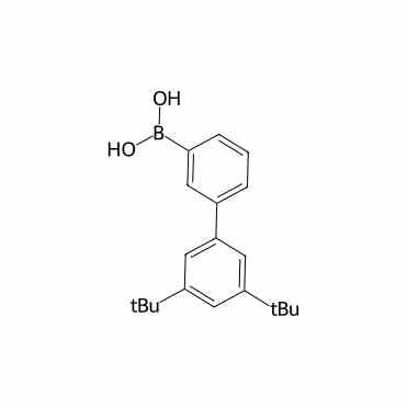 CC(C)(C)c1cc(-c2cccc(B(O)O)c2)cc(C(C)(C)C)c1